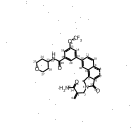 C=C(CN1Cc2c(ccc3ccc(-c4cc(OC(F)(F)F)cc(C(=O)NC5CCOCC5)c4)cc23)C1=O)C(N)=O